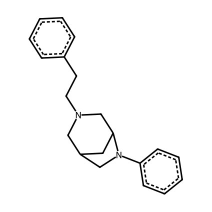 c1ccc(CCN2CC3CC(C2)N(c2ccccc2)C3)cc1